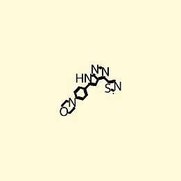 [c]1ncc(-c2ncnc3[nH]c(-c4ccc(N5CCOCC5)cc4)cc23)s1